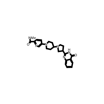 CNC(=O)c1ccc(N2CCC(N3CCC(c4nc5ccccc5c(=O)[nH]4)C3)CC2)cn1